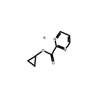 O=C(OC1CC1)c1ncccn1.[K]